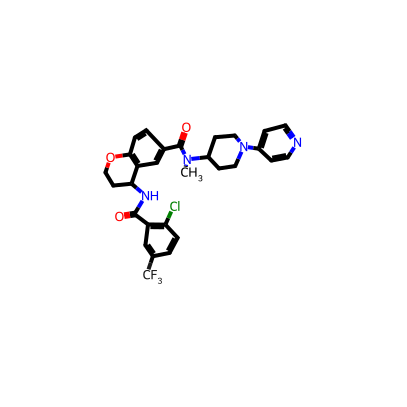 CN(C(=O)c1ccc2c(c1)C(NC(=O)c1cc(C(F)(F)F)ccc1Cl)CCO2)C1CCN(c2ccncc2)CC1